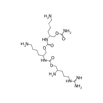 N=C(N)NCCCC(N)COC(=O)NC(CCCCN)COC(=O)NC(CCCCN)COC(N)=O